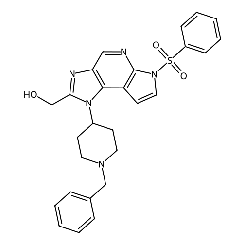 O=S(=O)(c1ccccc1)n1ccc2c1ncc1nc(CO)n(C3CCN(Cc4ccccc4)CC3)c12